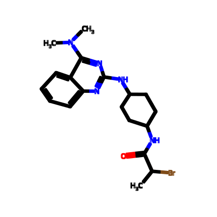 CC(Br)C(=O)NC1CCC(Nc2nc(N(C)C)c3ccccc3n2)CC1